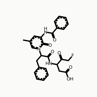 Cc1cc(NC(=O)c2ccccc2)c(=O)n(C(Cc2ccccc2)C(=O)NC(CC(=O)O)C(=O)CF)c1